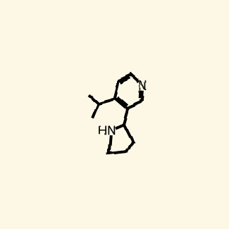 CC(C)c1ccncc1C1CCCN1